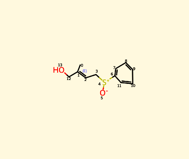 C/C(=C\C[S+]([O-])c1ccccc1)CO